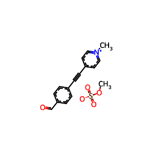 COS(=O)(=O)[O-].C[n+]1ccc(C#Cc2ccc(C=O)cc2)cc1